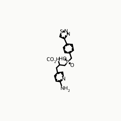 Nc1ccc(CC(CP(=O)(O)Cc2ccc(-c3csnn3)cc2)C(=O)O)cn1